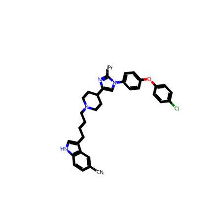 CC(C)c1nc(C2CCN(CCCCc3c[nH]c4ccc(C#N)cc34)CC2)cn1-c1ccc(Oc2ccc(Cl)cc2)cc1